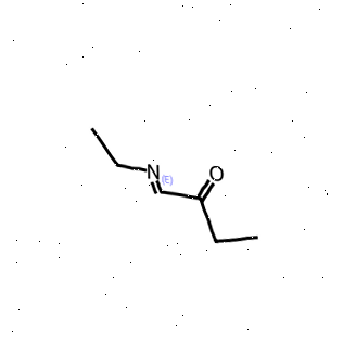 CC/N=C/C(=O)CC